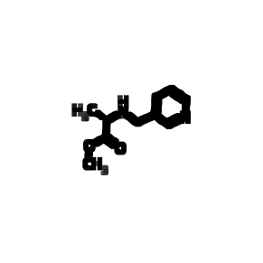 COC(=O)[C@@H](C)NCc1cccnc1